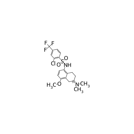 COc1ccc(NS(=O)(=O)c2ccc(C(F)(F)F)cc2Cl)c2c1C[C@@H](N(C)C)CC2